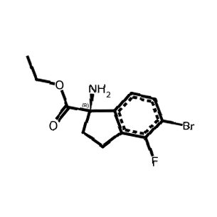 CCOC(=O)[C@@]1(N)CCc2c1ccc(Br)c2F